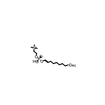 CCCCCCCCCCCCCCCCC=COP(=O)(O)OCC[N+](C)(C)C